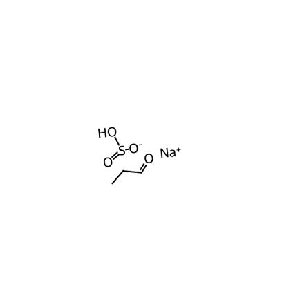 CCC=O.O=S([O-])O.[Na+]